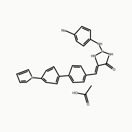 CC(=O)O.O=C1NN(Nc2cc[c]([Na])cc2)N/C1=C\c1ccc(-c2ccc(-n3cccc3)cc2)cc1